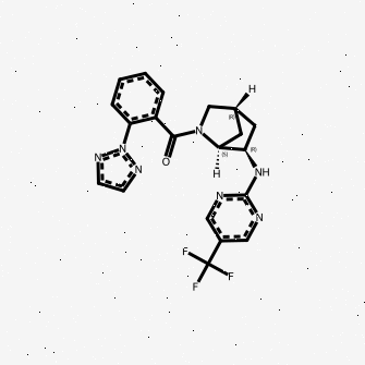 O=C(c1ccccc1-n1nccn1)N1C[C@@H]2C[C@@H](Nc3ncc(C(F)(F)F)cn3)[C@@H]1C2